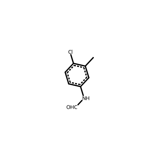 Cc1cc(NC=O)ccc1Cl